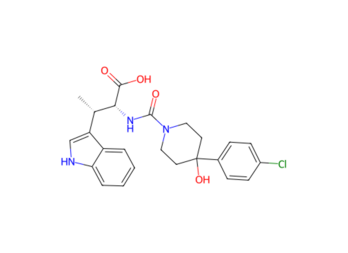 C[C@@H](c1c[nH]c2ccccc12)[C@@H](NC(=O)N1CCC(O)(c2ccc(Cl)cc2)CC1)C(=O)O